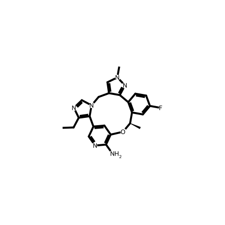 CCc1ncn2c1-c1cnc(N)c(c1)O[C@H](C)c1cc(F)ccc1-c1nn(C)cc1C2